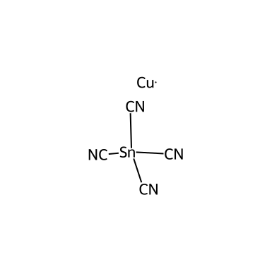 N#[C][Sn]([C]#N)([C]#N)[C]#N.[Cu]